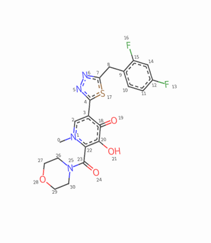 Cn1cc(-c2nnc(Cc3ccc(F)cc3F)s2)c(=O)c(O)c1C(=O)N1CCOCC1